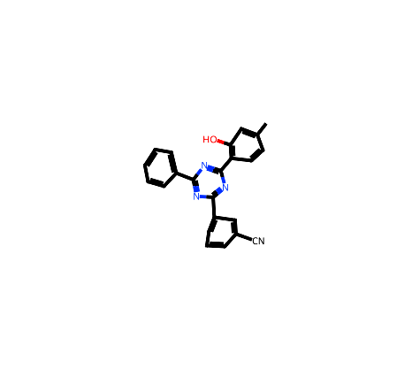 Cc1ccc(-c2nc(-c3ccccc3)nc(-c3cccc(C#N)c3)n2)c(O)c1